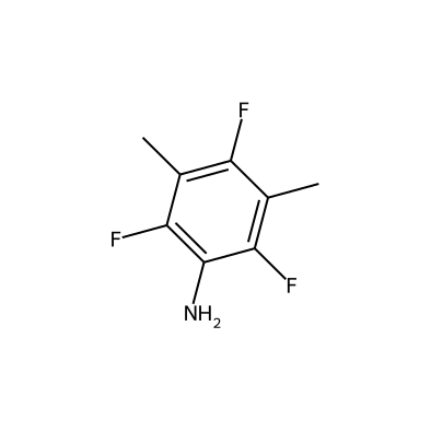 Cc1c(F)c(C)c(F)c(N)c1F